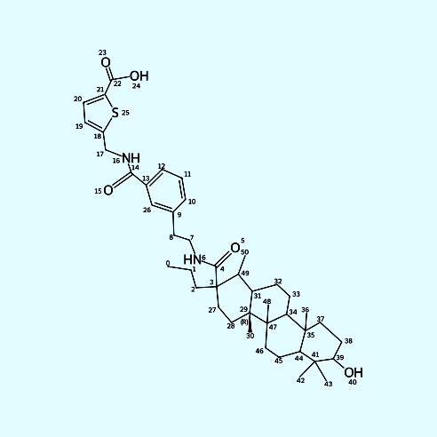 CCCC1(C(=O)NCCc2cccc(C(=O)NCc3ccc(C(=O)O)s3)c2)CC[C@]2(C)C(CCC3C4(C)CCC(O)C(C)(C)C4CCC32C)C1C